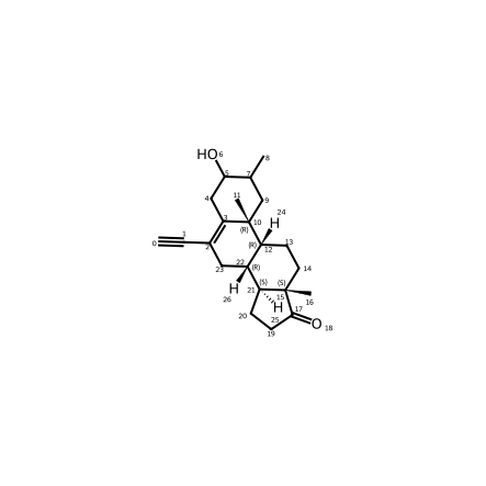 C#CC1=C2CC(O)C(C)C[C@]2(C)[C@@H]2CC[C@]3(C)C(=O)CC[C@H]3[C@@H]2C1